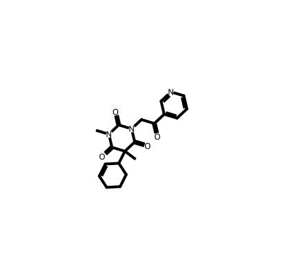 CN1C(=O)N(CC(=O)c2cccnc2)C(=O)C(C)(C2C=CCCC2)C1=O